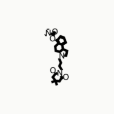 CN(C)C(=O)Oc1cccc2c1CCC1C2CCN1CCCCN1C(=O)CC(C)(C)CC1=O